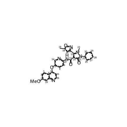 COc1ccc2c(Oc3ccc(NC(=O)c4c(-c5cc(C)on5)n(C)n(-c5ccccc5)c4=O)nc3)ccnc2c1